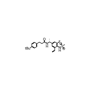 C=Cc1cc([C@@H](C)NC(=O)CCc2ccc(C(C)(C)C)cc2)cc(F)c1NS(C)(=O)=O